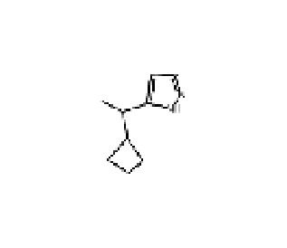 CC(c1c[c]n[nH]1)C1CCC1